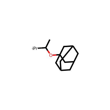 C[C](C)C(C)OC12CC3CC(CC(C3)C1)C2